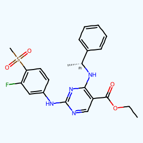 CCOC(=O)c1cnc(Nc2ccc(S(C)(=O)=O)c(F)c2)nc1N[C@H](C)c1ccccc1